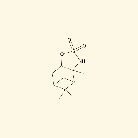 CC1(C)C2CC3OS(=O)(=O)NC3(C)C1C2